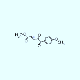 COC(=O)/C=C/C(=O)C(=O)c1ccc(OC)cc1